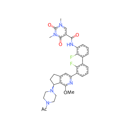 COc1nc(-c2cccc(-c3cccc(NC(=O)c4cn(C)c(=O)n(C)c4=O)c3F)c2F)cc2c1[C@@H](N1CCN(C(C)=O)CC1)CC2